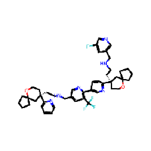 Fc1cncc(CNCC[C@@]2(c3ccc(-c4ncc(CNCC[C@@]5(c6ccccn6)CCOC6(CCCC6)C5)cc4C(F)(F)F)cn3)CCOC3(CCCC3)C2)c1